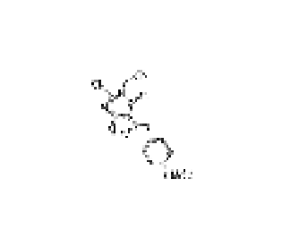 COc1ccc(Cn2cnc3nc(Cl)n(CC#N)c(=O)c32)cc1